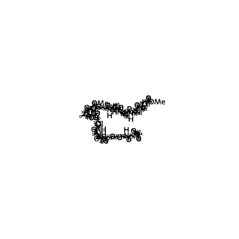 C=C1C[C@H]2[C@H](O)N(C(=O)OCc3ccc(NC(=O)[C@H](C)NC(=O)[C@@H](NC(=O)CCOCCOCCNC(=O)CCN4C(=O)C=CC4=O)C(C)C)cc3)c3cc(OCCCC(=O)Nc4cn(C)c(C(=O)Nc5cc(C(=O)Nc6cc(C(=O)n7ccc8cc(C(=O)OC)ccc87)n(C)c6)n(C)c5)n4)c(OC)cc3C(=O)N2C1